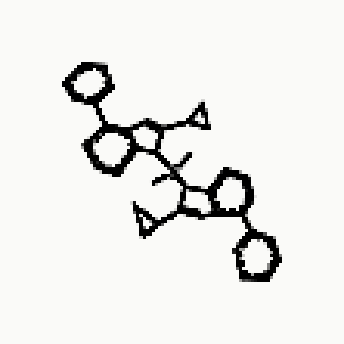 CS(C)(C1C(C2CC2)=Cc2c(-c3ccccc3)cccc21)C1C(C2CC2)=Cc2c(-c3ccccc3)cccc21